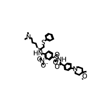 COC1(C)CCN(c2ccc(C(=O)NS(=O)(=O)c3ccc(N[C@H](CCCCN(C)C)CSc4ccccc4)c([N+](=O)[O-])c3)cc2)CC1